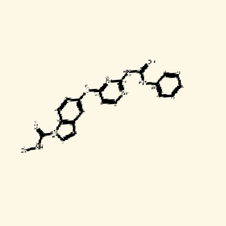 CCNC(=O)n1ccc2cc(Oc3ccnc(NC(=O)Oc4ccccc4)n3)ccc21